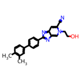 Cc1ccc(-c2ccc(-c3nc4cc(C#N)n(CCO)cc-4n3)cc2)cc1C